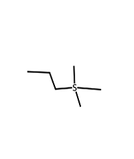 CCCS(C)(C)C